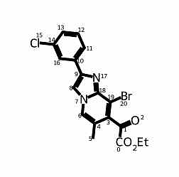 CCOC(=O)C(=O)c1c(C)cn2cc(-c3cccc(Cl)c3)nc2c1Br